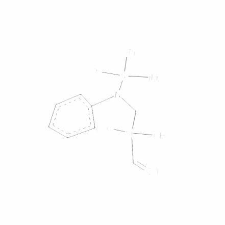 C=C[Si](C)(C)CN(c1ccccc1)[Si](C(C)C)(C(C)C)C(C)C